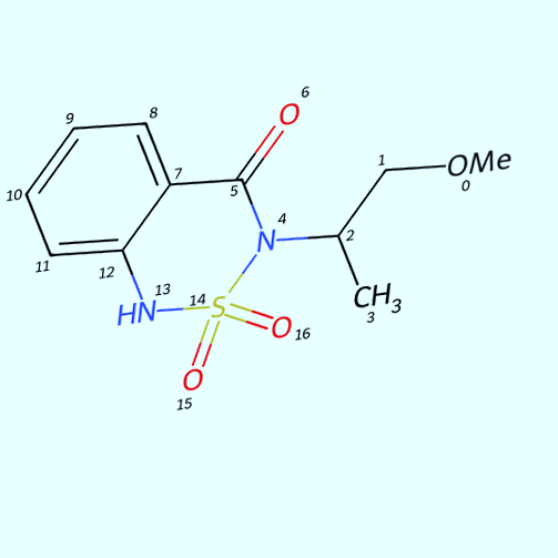 COCC(C)N1C(=O)c2ccccc2NS1(=O)=O